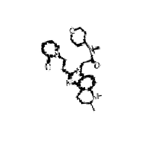 C[C@H]1CCc2c(ccc3c2nc(CCn2ccccc2=O)n3CC(=O)N(C)C2CCOCC2)N1